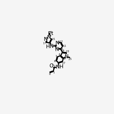 C=CC(=O)Nc1ccc2c(-c3ccnc(Nc4cnn(CC)c4)n3)cn(C)c2c1